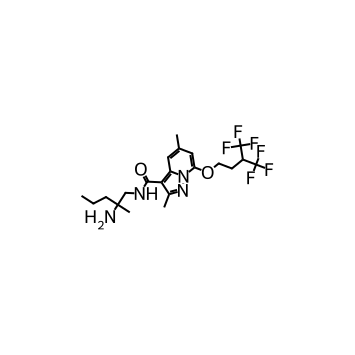 CCCC(C)(N)CNC(=O)c1c(C)nn2c(OCCC(C(F)(F)F)C(F)(F)F)cc(C)cc12